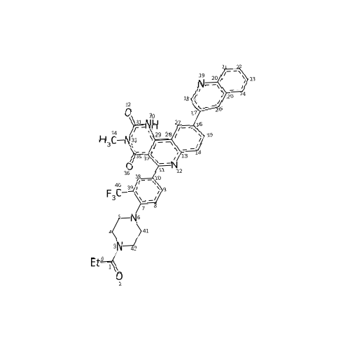 CCC(=O)N1CCN(c2ccc(-c3nc4ccc(-c5cnc6ccccc6c5)cc4c4[nH]c(=O)n(C)c(=O)c34)cc2C(F)(F)F)CC1